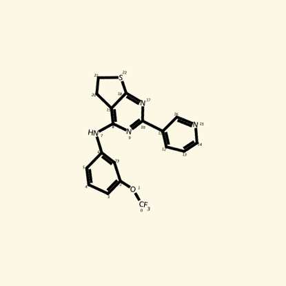 FC(F)(F)Oc1cccc(Nc2nc(-c3cccnc3)nc3c2CCS3)c1